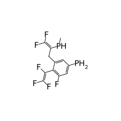 CPC(Cc1cc(P)cc(F)c1C(F)=C(F)F)=C(F)F